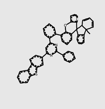 CC12C=CC=CC1C1(c3ccccc3Oc3c(-c4ccccc4-c4cc(-c5ccc6c(c5)sc5ccccc56)nc(-c5ccccc5)n4)cccc31)c1ccccc12